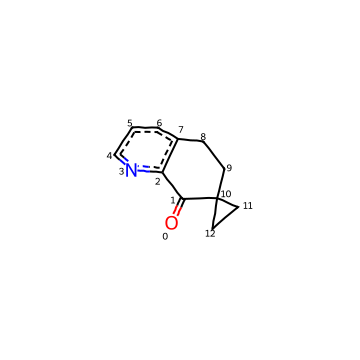 O=C1c2ncccc2CCC12CC2